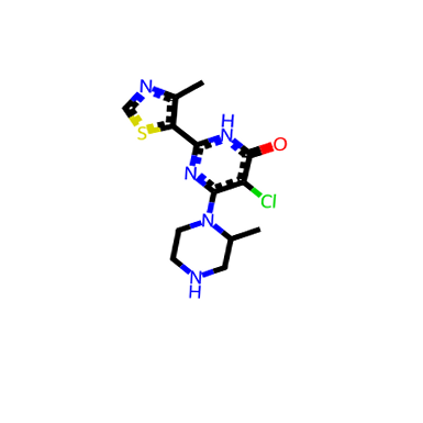 Cc1ncsc1-c1nc(N2CCNCC2C)c(Cl)c(=O)[nH]1